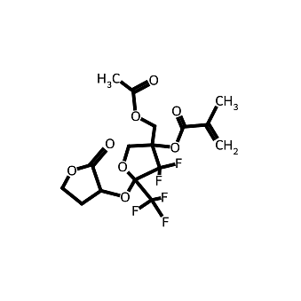 C=C(C)C(=O)OC1(COC(C)=O)COC(OC2CCOC2=O)(C(F)(F)F)C1(F)F